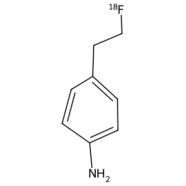 Nc1ccc(CC[18F])cc1